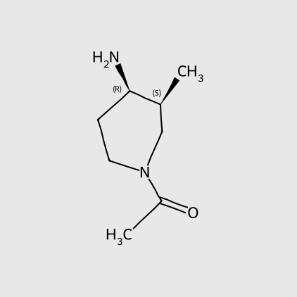 CC(=O)N1CC[C@@H](N)[C@@H](C)C1